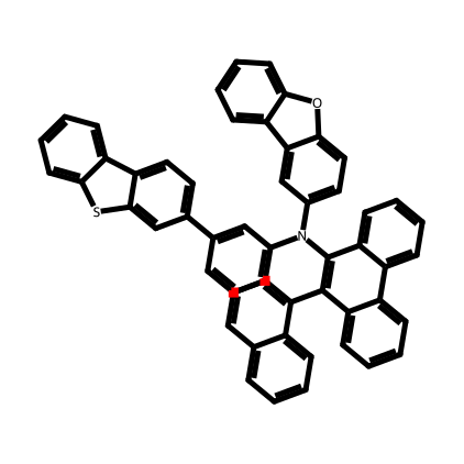 c1cc(-c2ccc3c(c2)sc2ccccc23)cc(N(c2ccc3oc4ccccc4c3c2)c2c(-c3cccc4ccccc34)c3ccccc3c3ccccc23)c1